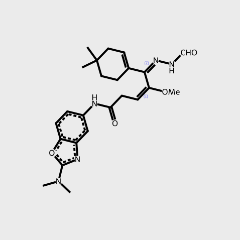 COC(=C/CC(=O)Nc1ccc2oc(N(C)C)nc2c1)/C(=N\NC=O)C1=CCC(C)(C)CC1